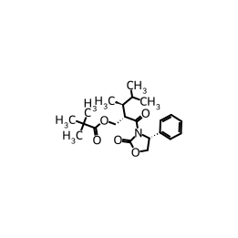 CC(C)[C@H](C)[C@@H](COC(=O)C(C)(C)C)C(=O)N1C(=O)OC[C@H]1c1ccccc1